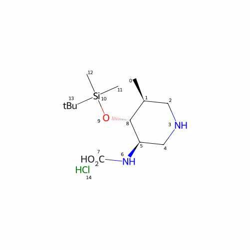 C[C@H]1CNC[C@@H](NC(=O)O)[C@@H]1O[Si](C)(C)C(C)(C)C.Cl